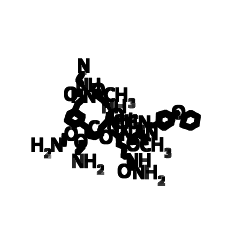 Cc1nc(-c2ccc(OC3CCCCC3)cc2)nc(C)c1C(=O)NC(CCCNC(N)=O)C(=O)N(C)[C@@H]1C(=O)N[C@@H](C)C(=O)N[C@H](C(=O)NCC#N)Cc2ccc(OCCN)c(c2)-c2cc1ccc2OCCN